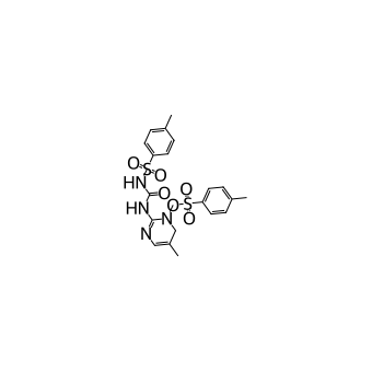 CC1=CN=C(NC(=O)NS(=O)(=O)c2ccc(C)cc2)N(OS(=O)(=O)c2ccc(C)cc2)C1